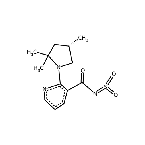 C[C@@H]1CN(c2ncccc2C(=O)N=S(=O)=O)C(C)(C)C1